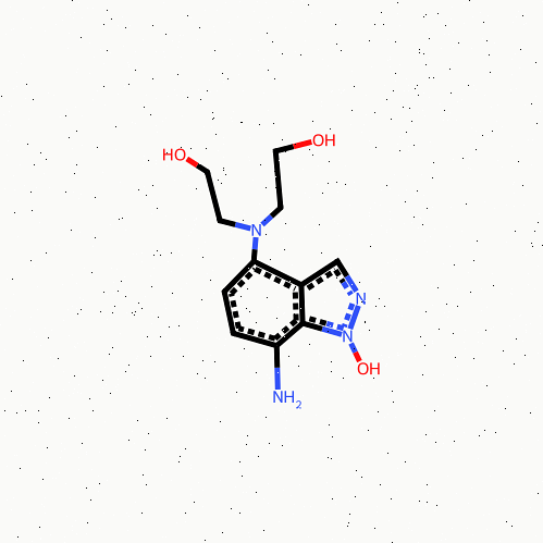 Nc1ccc(N(CCO)CCO)c2cnn(O)c12